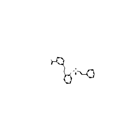 O=C(O)c1cccc(CCc2ccccc2NS(=O)(=O)C=Cc2ccccc2)c1